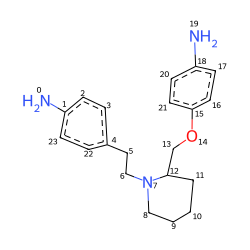 Nc1ccc(CCN2CCCCC2COc2ccc(N)cc2)cc1